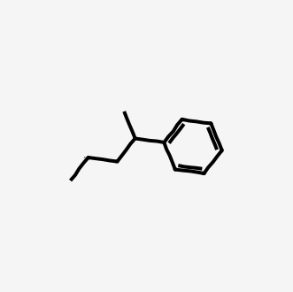 C[CH]CC(C)c1ccccc1